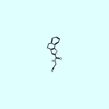 N#CCNC(=O)c1cc2c(s1)-c1ccccc1CC2